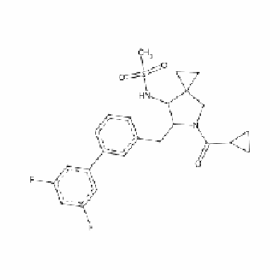 CS(=O)(=O)NC1C(Cc2cccc(-c3cc(F)cc(F)c3)c2)N(C(=O)C2CC2)CC12CC2